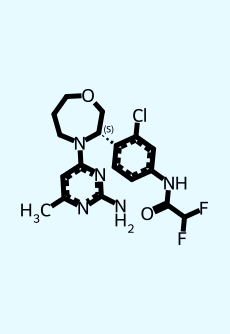 Cc1cc(N2CCCOC[C@@H]2c2ccc(NC(=O)C(F)F)cc2Cl)nc(N)n1